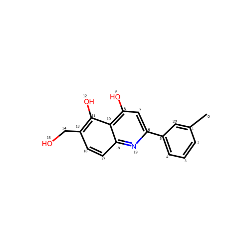 Cc1cccc(-c2cc(O)c3c(O)c(CO)ccc3n2)c1